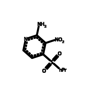 CCCS(=O)(=O)c1ccnc(N)c1[N+](=O)[O-]